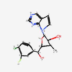 CC1C(O)C(n2ccc3cncnc32)OC1C(O)c1ccc(Cl)c(F)c1